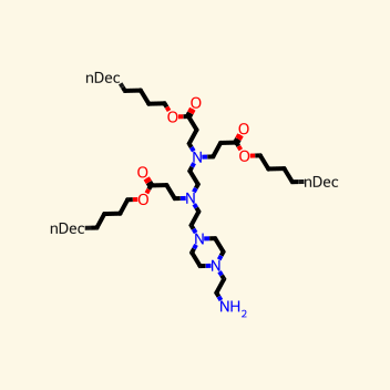 CCCCCCCCCCCCCCOC(=O)CCN(CCC(=O)OCCCCCCCCCCCCCC)CCN(CCC(=O)OCCCCCCCCCCCCCC)CCN1CCN(CCN)CC1